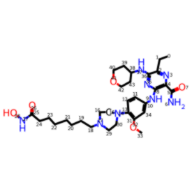 CCc1nc(C(N)=O)c(Nc2ccc(N3CCN(CCCCCCCC(=O)NO)CC3)c(OC)c2)nc1NC1CCOCC1